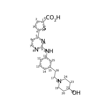 O=C(O)c1ccc(-c2ccnc(Nc3cccc(CCN4CCC(O)CC4)c3)n2)s1